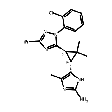 Cc1nc(N)[nH]c1[C@@H]1[C@@H](c2nc(C(C)C)nn2-c2ccccc2Cl)C1(C)C